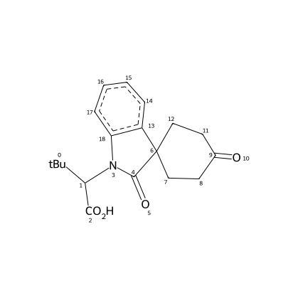 CC(C)(C)C(C(=O)O)N1C(=O)C2(CCC(=O)CC2)c2ccccc21